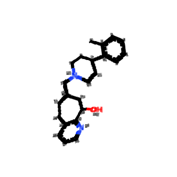 Cc1ccccc1C1CCN(CC2CCc3cccnc3C(O)C2)CC1